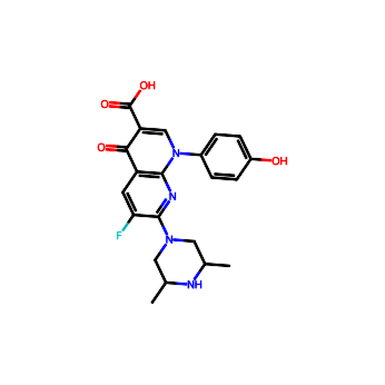 CC1CN(c2nc3c(cc2F)c(=O)c(C(=O)O)cn3-c2ccc(O)cc2)CC(C)N1